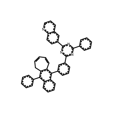 C1=CCc2c(c(-c3cccc(-c4nc(-c5ccccc5)nc(-c5ccc6ncccc6c5)n4)c3)c3ccccc3c2-c2ccccc2)C=C1